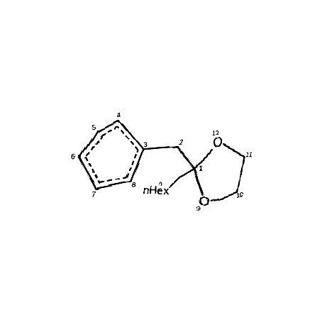 CCCCCCC1(Cc2ccccc2)OCCO1